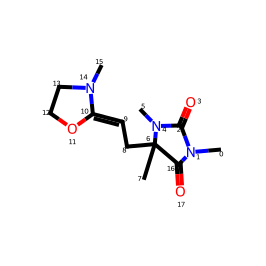 CN1C(=O)N(C)C(C)(C/C=C2\OCCN2C)C1=O